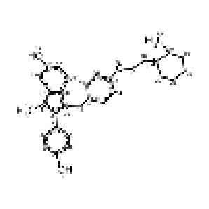 Cc1c(-c2ccc(O)cc2)n(Cc2ccc(OCCN3CCCCC3C)cc2)c2ccc(O)cc12